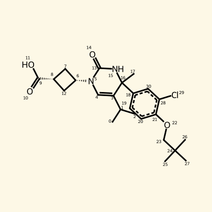 CC(C)C1=CN([C@H]2C[C@@H](C(=O)O)C2)C(=O)NC1(C)c1ccc(OCC(C)(C)C)c(Cl)c1